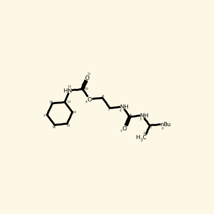 CCCCC(C)NC(=O)NCCOC(=O)NC1CCCCC1